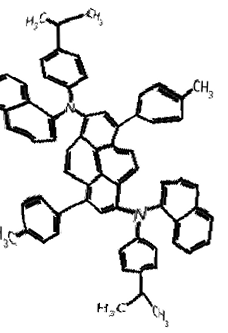 Cc1ccc(-c2cc(N(c3ccc(C(C)C)cc3)c3cccc4ccccc34)c3ccc4c(-c5ccc(C)cc5)cc(N(c5ccc(C(C)C)cc5)c5cccc6ccccc56)c5ccc2c3c45)cc1